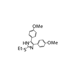 [CH2]CSc1nc(-c2ccc(OC)cc2)c(-c2ccc(OC)cc2)[nH]1